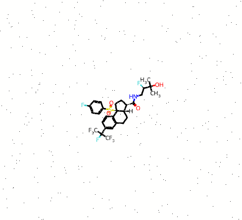 CC(C)(O)[C@H](F)CNC(=O)[C@@H]1CC[C@@]2(S(=O)(=O)c3ccc(F)cc3)c3ccc(C(F)(C(F)(F)F)C(F)(F)F)cc3CC[C@@H]12